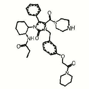 CCC(=O)N[C@H]1CCCCC1n1c(-c2ccccc2)c(C(=O)N2CCNCC2)n(Cc2cccc(OCC(=O)N3CCCCC3)c2)c1=O